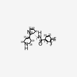 Cc1cc(C(=O)NC[C@H]2CC=CN=C2C2=CCNCC2)ccc1F